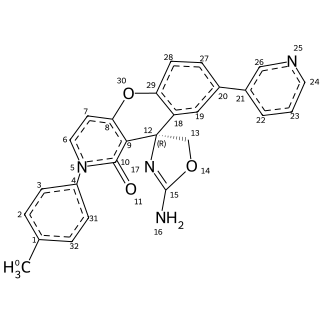 Cc1ccc(-n2ccc3c(c2=O)[C@@]2(COC(N)=N2)c2cc(-c4cccnc4)ccc2O3)cc1